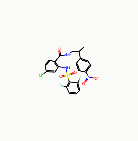 CC(CNC(=O)c1ccc(Cl)cc1NS(=O)(=O)c1c(F)cccc1F)c1ccc([N+](=O)[O-])cc1